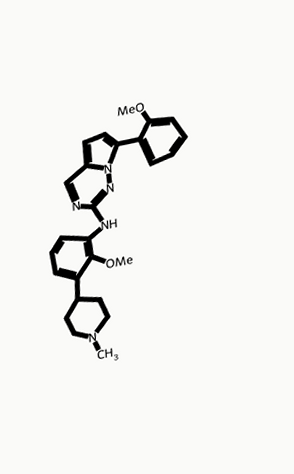 COc1ccccc1-c1ccc2cnc(Nc3cccc(C4CCN(C)CC4)c3OC)nn12